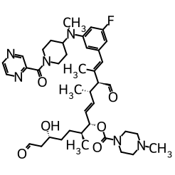 C/C(=C\c1cc(F)cc(N(C)C2CCN(C(=O)c3cnccn3)CC2)c1)[C@@H](C=O)[C@@H](C)/C=C/[C@H](OC(=O)N1CCN(C)CC1)[C@@H](C)CC[C@@H](O)CC=O